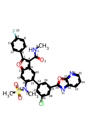 CNC(=O)c1c(-c2ccc(F)cc2)oc2cc(N(C)S(C)(=O)=O)c(-c3cc(Cl)cc(-c4nc5cccnc5o4)c3)cc12